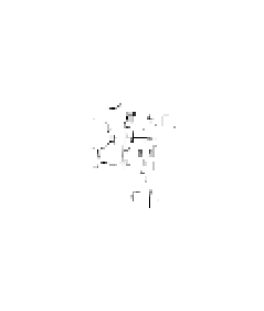 CC(F)(F)COC(F)(F)C(F)(F)C(F)(C(F)C(F)(F)F)n1c2ccccc2c2ccccc21